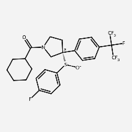 O=C(C1CCCCC1)N1CC[C@](c2ccc(C(F)(C(F)(F)F)C(F)(F)F)cc2)([S+]([O-])c2ccc(F)cc2)C1